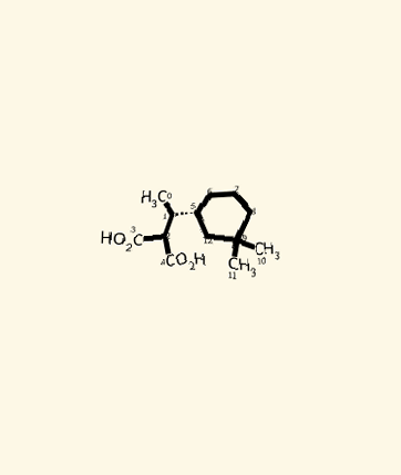 CC(C(C(=O)O)C(=O)O)[C@@H]1CCCC(C)(C)C1